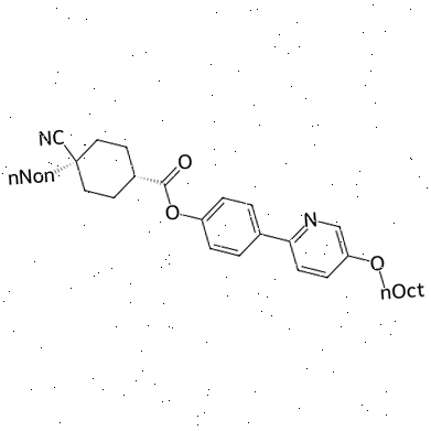 CCCCCCCCC[C@]1(C#N)CC[C@H](C(=O)Oc2ccc(-c3ccc(OCCCCCCCC)cn3)cc2)CC1